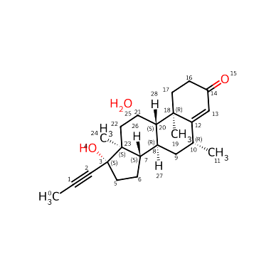 CC#C[C@]1(O)CC[C@H]2[C@@H]3C[C@@H](C)C4=CC(=O)CC[C@]4(C)[C@H]3CC[C@@]21C.O